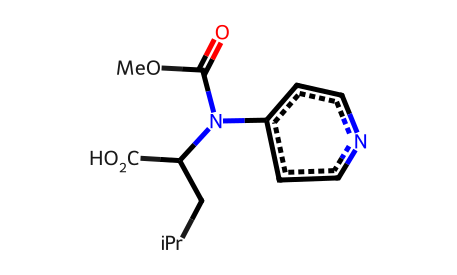 COC(=O)N(c1ccncc1)C(CC(C)C)C(=O)O